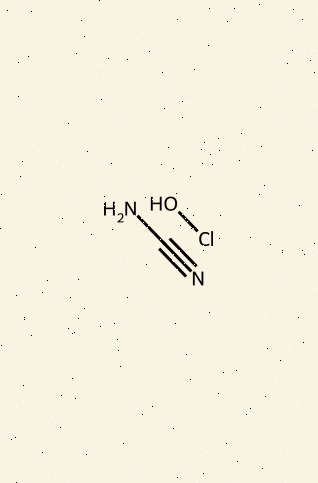 N#CN.OCl